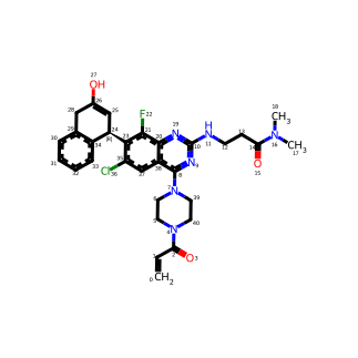 C=CC(=O)N1CCN(c2nc(NCCC(=O)N(C)C)nc3c(F)c([C@@H]4C=C(O)Cc5ccccc54)c(Cl)cc23)CC1